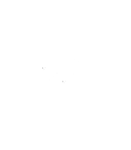 CCc1cc(C)cc(P(=O)(OC)OC)c1